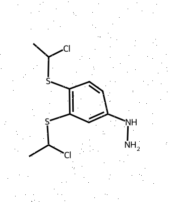 CC(Cl)Sc1ccc(NN)cc1SC(C)Cl